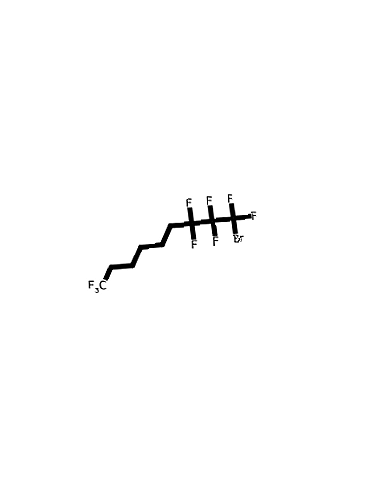 FC(F)(F)CCCCCC(F)(F)C(F)(F)C(F)(F)Br